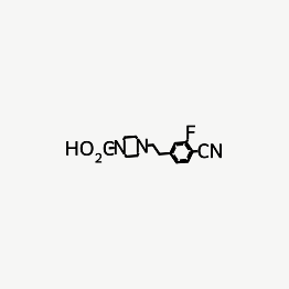 N#Cc1ccc(CCN2CCN(C(=O)O)CC2)cc1F